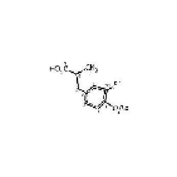 CC(=O)Oc1ccc(CC(C)C(=O)O)cc1F